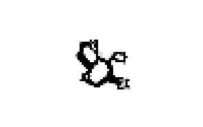 CCc1cnc2ccnn2c1Cl